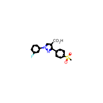 CS(=O)(=O)c1ccc(-c2nn(-c3cccc(F)c3)cc2C(=O)O)cc1